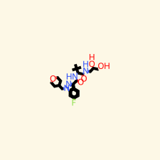 CC(C)(C)C(NC(=O)c1nn(CC2CCOCC2)c2cc(F)ccc12)C(=O)NC[C@@H](O)CO